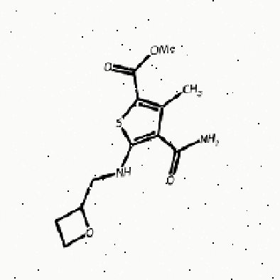 COC(=O)c1sc(NCC2CCO2)c(C(N)=O)c1C